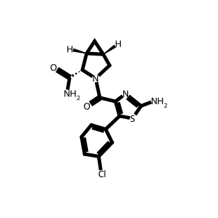 NC(=O)[C@@H]1[C@@H]2C[C@@H]2CN1C(=O)c1nc(N)sc1-c1cccc(Cl)c1